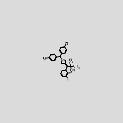 CC(C)(C#N)C(=C1CN(C(c2ccc(Cl)cc2)c2ccc(Cl)cc2)C1)c1cccc(F)c1F